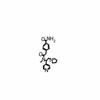 CN(C(=O)Cc1ccc(C(N)=O)cc1)C(CN1CCCC1)c1ccncc1